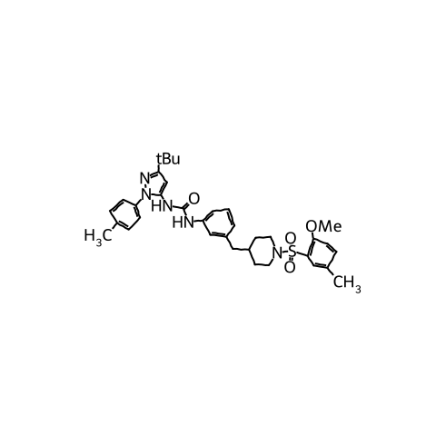 COc1ccc(C)cc1S(=O)(=O)N1CCC(Cc2cccc(NC(=O)Nc3cc(C(C)(C)C)nn3-c3ccc(C)cc3)c2)CC1